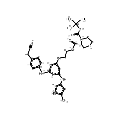 Cc1cc(Nc2cc(NCCNC(=O)[C@@H]3COCCN3C(=O)OC(C)(C)C)nc(Nc3ccc(CC#N)cc3)n2)n[nH]1